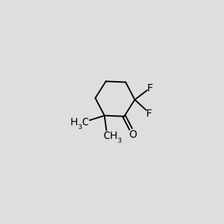 CC1(C)CCCC(F)(F)C1=O